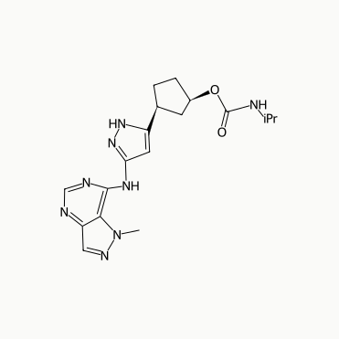 CC(C)NC(=O)O[C@@H]1CC[C@H](c2cc(Nc3ncnc4cnn(C)c34)n[nH]2)C1